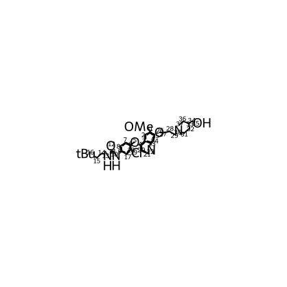 COc1cc2c(Oc3ccc(NC(=O)NCCC(C)(C)C)cc3Cl)ccnc2cc1OCCCN1CCC(CO)CC1